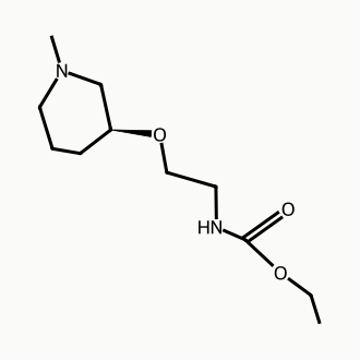 CCOC(=O)NCCO[C@H]1CCCN(C)C1